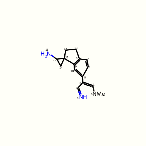 CN/C=C(\C=N)c1ccc2c(c1)C1(CC2)CC1N